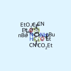 [C-]#[N+]C(C(=O)OCC)=C1Sc2c(NC(=O)C(CC)CCCC)c3c(c(NC(=O)C(CC)CCCC)c2S1)SC(=C(C#N)C(=O)OCC)S3